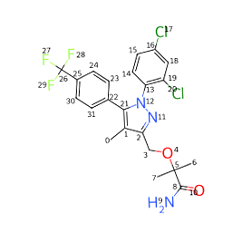 Cc1c(COC(C)(C)C(N)=O)nn(-c2ccc(Cl)cc2Cl)c1-c1ccc(C(F)(F)F)cc1